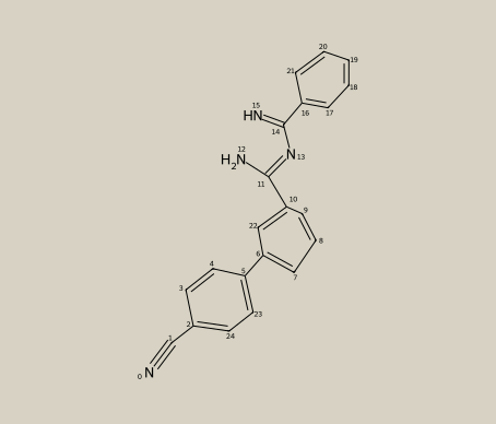 N#Cc1ccc(-c2cccc(/C(N)=N/C(=N)c3ccccc3)c2)cc1